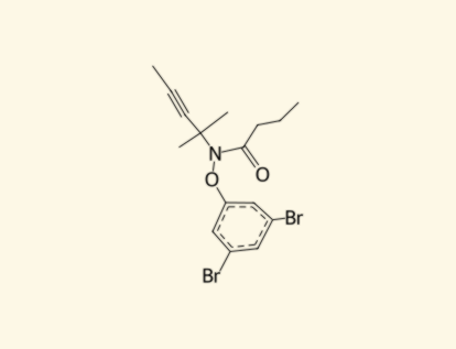 CC#CC(C)(C)N(Oc1cc(Br)cc(Br)c1)C(=O)CCC